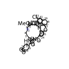 CO[C@H]1/C=C/CCC[S@@](=O)(NC(=O)N2CCS(=O)(=O)CC2)=NC(=O)c2ccc3c(c2)N(C[C@@H]2CC[C@H]21)C[C@@]1(CCCc2cc(Cl)ccc21)CO3